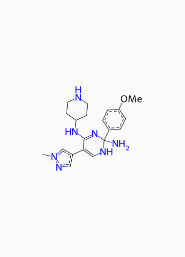 COc1ccc(C2(N)N=C(NC3CCNCC3)C(c3cnn(C)c3)=CN2)cc1